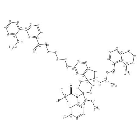 COC(=O)C1(N(C(=O)C(F)(F)F)c2cccc(Cl)c2)CCC2(CC1)c1cc(OCCCCNC(=O)c3cccc(-c4ccccc4OC)c3)ccc1C[C@@H]2C[C@@H](C)COc1ccnc2c1[C@H](C)CCC2